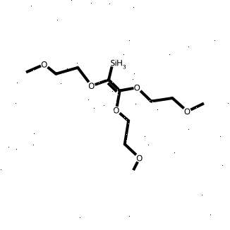 COCCOC([SiH3])=C(OCCOC)OCCOC